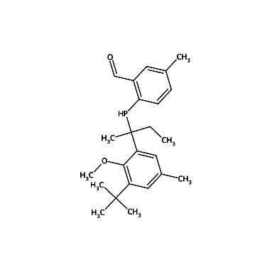 CCC(C)(Pc1ccc(C)cc1C=O)c1cc(C)cc(C(C)(C)C)c1OC